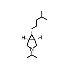 CC(C)CCC[C@@H]1[C@H]2CN(C(C)C)C[C@@H]12